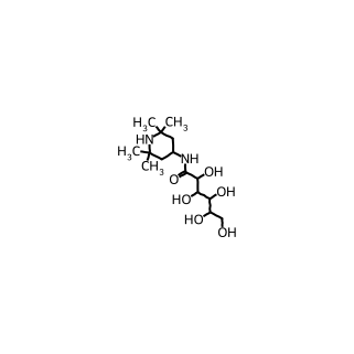 CC1(C)CC(NC(=O)C(O)C(O)C(O)C(O)CO)CC(C)(C)N1